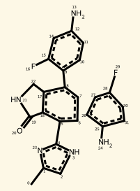 Cc1c[nH]c(-c2ccc(-c3ccc(N)cc3F)c3c2C(=O)NC3)n1.Nc1ccc(F)cc1